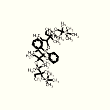 CCC(O[Si](c1ccccc1)(c1ccccc1)C(C)(CC)C(C)(CC)O[Si](C)(C)C(C)(CC)O[Si](C)(C)C)C(C)(CC)[Si](C)(C)OC(C)(C)[Si](C)(C)C